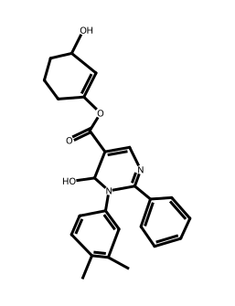 Cc1ccc(N2C(c3ccccc3)=NC=C(C(=O)OC3=CC(O)CCC3)C2O)cc1C